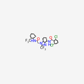 O=C(Cn1c(C(F)(F)F)nc2c(NC(=O)c3c(Cl)cccc3Cl)cccc21)Nc1ccccc1C(F)(F)F